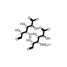 O=C[C@H](O)[C@@H](O)[C@H](O)[C@H](O)C(=O)[O-].O=C[C@H](O)[C@@H](O)[C@H](O)[C@H](O)C(=O)[O-].[Cu+2]